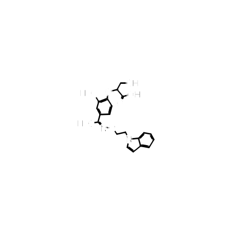 CCC(Oc1ccc(C(C)=NOCCn2ccc3ccccc32)cc1C)C(=O)O